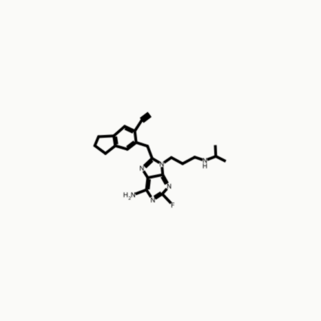 C#Cc1cc2c(cc1Cc1nc3c(N)nc(F)nc3n1CCCNC(C)C)CCC2